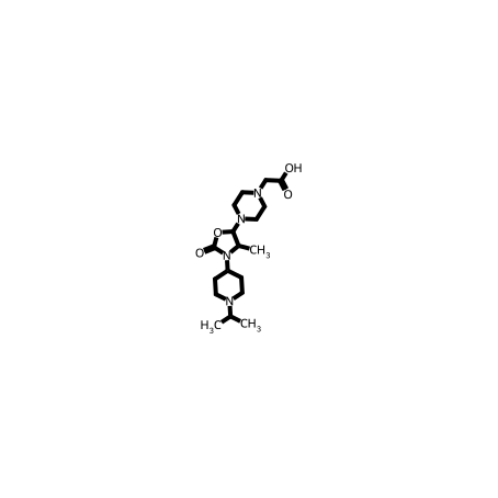 CC(C)N1CCC(N2C(=O)OC(N3CCN(CC(=O)O)CC3)C2C)CC1